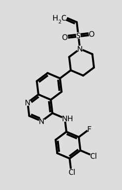 C=CS(=O)(=O)N1CCCC(c2ccc3ncnc(Nc4ccc(Cl)c(Cl)c4F)c3c2)C1